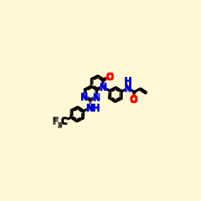 C=CC(=O)Nc1cccc(-n2c(=O)ccc3cnc(Nc4ccc(C(F)(F)F)cc4)nc32)c1